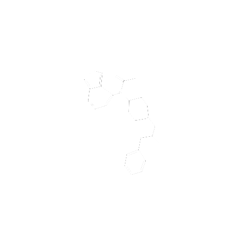 CC(=O)N(c1cccc2cocc12)C1CCN(CC(C)Cc2ccccc2)CC1